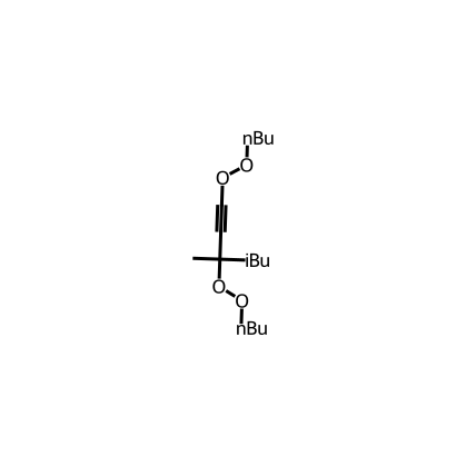 CCCCOOC#CC(C)(OOCCCC)C(C)CC